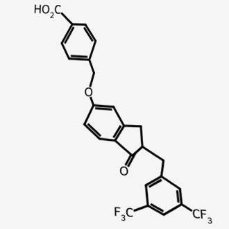 O=C(O)c1ccc(COc2ccc3c(c2)CC(Cc2cc(C(F)(F)F)cc(C(F)(F)F)c2)C3=O)cc1